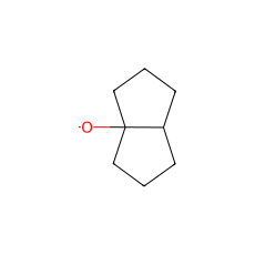 [O]C12CCCC1CCC2